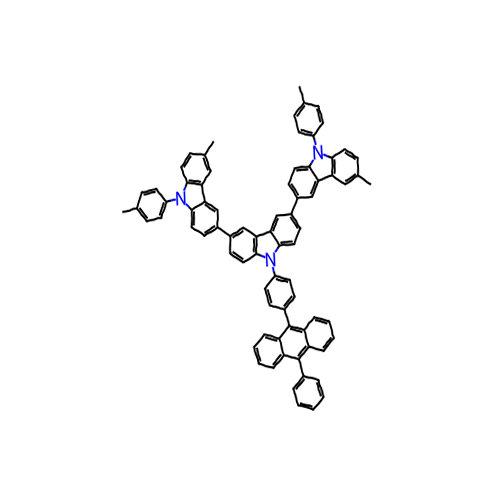 Cc1ccc(-n2c3ccc(C)cc3c3cc(-c4ccc5c(c4)c4cc(-c6ccc7c(c6)c6cc(C)ccc6n7-c6ccc(C)cc6)ccc4n5-c4ccc(-c5c6ccccc6c(-c6ccccc6)c6ccccc56)cc4)ccc32)cc1